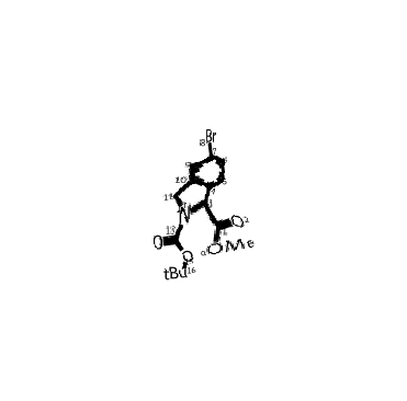 COC(=O)C1c2ccc(Br)cc2CN1C(=O)OC(C)(C)C